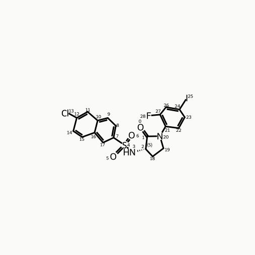 O=C1[C@@H](NS(=O)(=O)c2ccc3cc(Cl)ccc3c2)CCN1c1ccc(I)cc1F